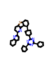 c1ccc(-c2nc(-c3ccccc3)nc(-c3ccc(-c4cccc5sc6ccc(-c7ccc8ccccc8n7)nc6c45)cc3)n2)cc1